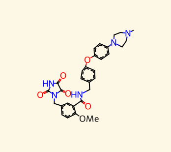 COc1ccc(CN2C(=O)NC(=O)C2=O)cc1C(=O)NCc1ccc(Oc2ccc(N3CCN(C)CC3)cc2)cc1